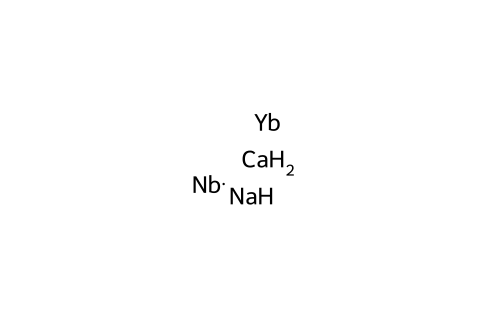 [CaH2].[NaH].[Nb].[Yb]